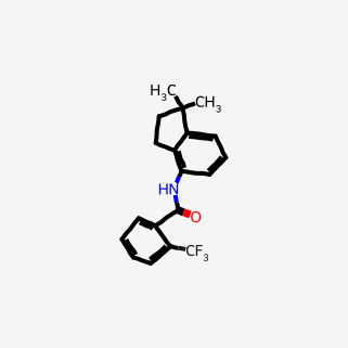 CC1(C)CCc2c(NC(=O)c3ccccc3C(F)(F)F)cccc21